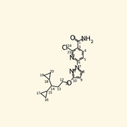 NC(=O)c1ccc(-n2ccc(OCCC(C3CC3)C3CC3)n2)nc1Cl